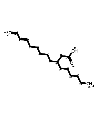 C=CC=CCCCCCC(CCCCCC)CC(=O)O